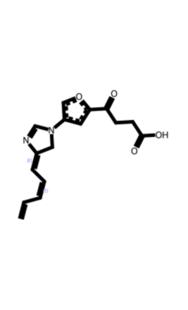 C=C/C=C\C=C1/CN(c2coc(C(=O)CCC(=O)O)c2)C=N1